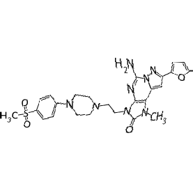 Cn1c(=O)n(CCN2CCN(c3ccc(S(C)(=O)=O)cc3)CC2)c2nc(N)n3nc(-c4ccco4)cc3c21